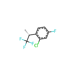 C[C@H](c1ccc(F)cc1Cl)C(F)(F)F